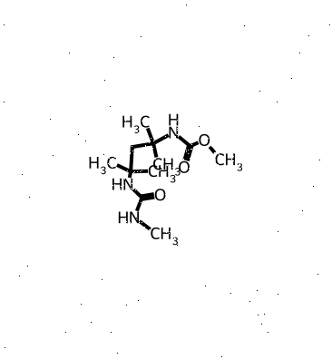 CNC(=O)NC(C)(C)CC(C)(C)NC(=O)OC